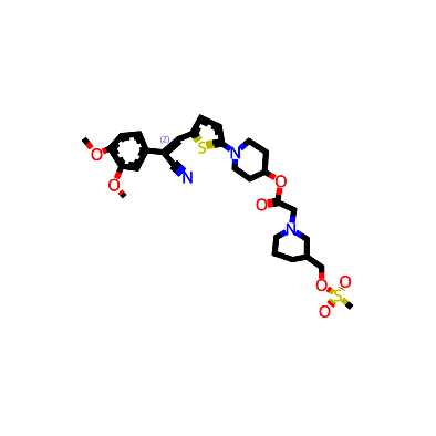 COc1ccc(/C(C#N)=C/c2ccc(N3CCC(OC(=O)CN4CCCC(COS(C)(=O)=O)C4)CC3)s2)cc1OC